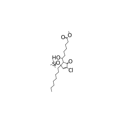 CCCCCCCCC1(O[Si](C)(C)C)C=C(Cl)C(=O)C1C(O)CCCCCC(=O)OC